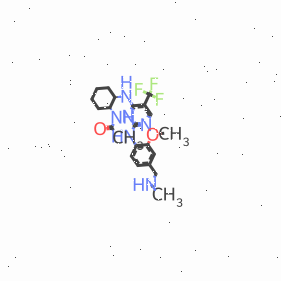 CNCc1ccc(Nc2ncc(C(F)(F)F)c(N[C@@H]3CCCC[C@H]3NC(C)=O)n2)c(OC)c1